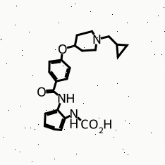 O=C(O)Nc1ccccc1NC(=O)c1ccc(OC2CCN(CC3CC3)CC2)cc1